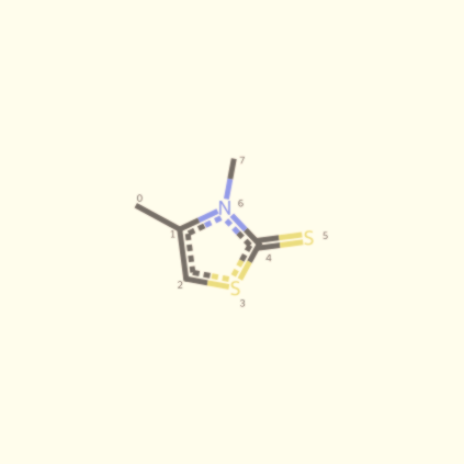 Cc1csc(=S)n1C